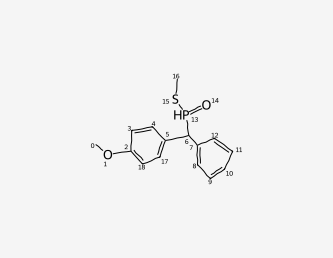 COc1ccc(C(c2ccccc2)[PH](=O)SC)cc1